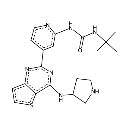 CC(C)(C)NC(=O)Nc1cc(-c2nc(NC3CCNC3)c3sccc3n2)ccn1